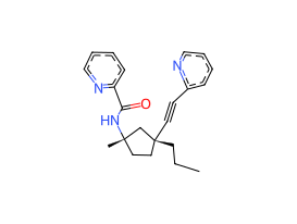 CCC[C@@]1(C#Cc2ccccn2)CC[C@](C)(NC(=O)c2ccccn2)C1